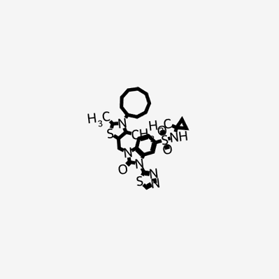 CC1SC(Cn2c(=O)n(-c3nncs3)c3cc(S(=O)(=O)NC4(C)CC4)ccc32)C(C)N1C1CCCCCCCC1